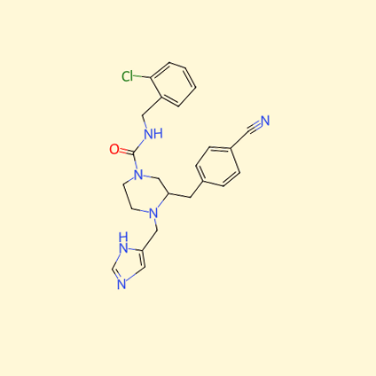 N#Cc1ccc(CC2CN(C(=O)NCc3ccccc3Cl)CCN2Cc2cnc[nH]2)cc1